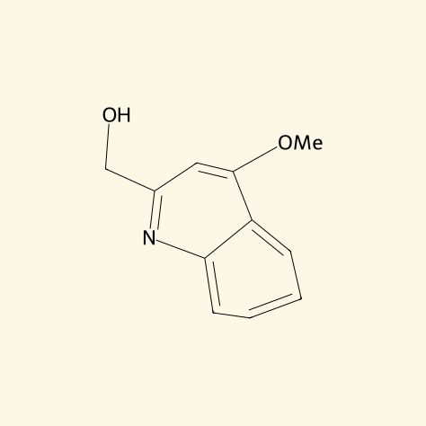 COc1cc(CO)nc2ccccc12